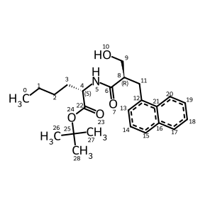 CCCC[C@H](NC(=O)[C@@H](CO)Cc1cccc2ccccc12)C(=O)OC(C)(C)C